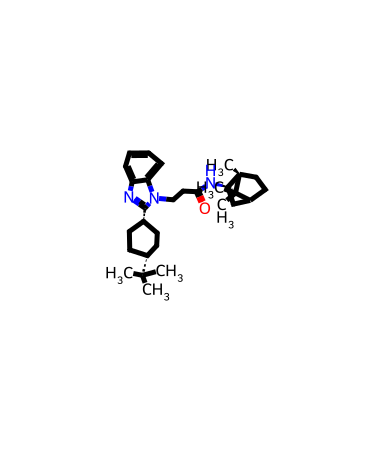 CC1(C)C2CC[C@@]1(C)[C@H](NC(=O)CCn1c3ccccc3nc1[C@H]1CC[C@@H](C(C)(C)C)CC1)C2